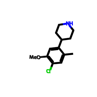 COc1cc(C2CCNCC2)c(C)cc1Cl